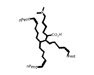 CCCCC/C=C\CCCC(CCC/C=C\CCCCC)C(CCC/C=C\CCCCC)C(CCCCN(C)C)C(=O)O